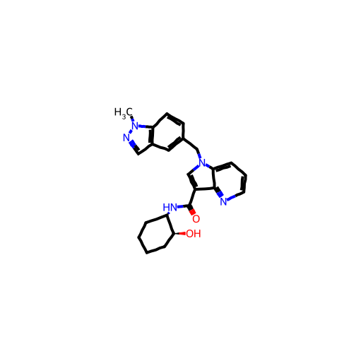 Cn1ncc2cc(Cn3cc(C(=O)N[C@H]4CCCC[C@@H]4O)c4ncccc43)ccc21